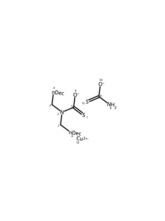 CCCCCCCCCCCN(CCCCCCCCCCC)C([O-])=S.NC([O-])=S.[Cu+2]